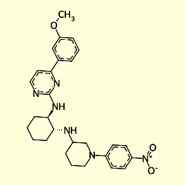 COc1cccc(-c2ccnc(N[C@@H]3CCCC[C@H]3NC3CCCN(c4ccc([N+](=O)[O-])cc4)C3)n2)c1